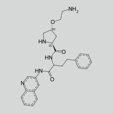 NCCO[C@H]1CN[C@H](C(=O)NC(CCc2ccccc2)C(=O)Nc2cnc3ccccc3c2)C1